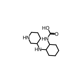 O=C(O)NC1CCCCC1NC1CCCNC1